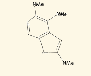 CNC1=Cc2c(ccc(NC)c2NC)[CH]1